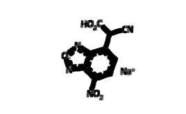 N#CC(C(=O)O)c1ccc([N+](=O)[O-])c2nonc12.[Na+]